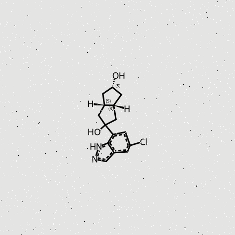 O[C@@H]1C[C@@H]2CC(O)(c3cc(Cl)cc4cn[nH]c34)C[C@@H]2C1